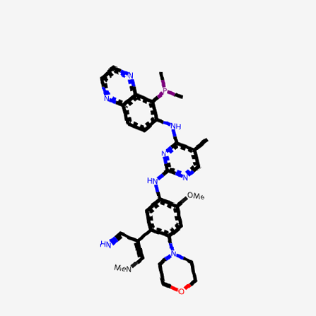 CN/C=C(\C=N)c1cc(Nc2ncc(C)c(Nc3ccc4nccnc4c3P(C)C)n2)c(OC)cc1N1CCOCC1